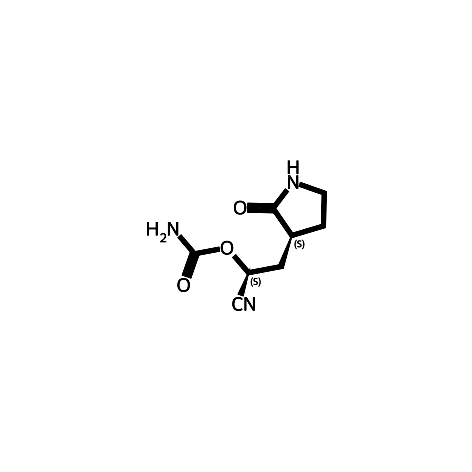 N#C[C@H](C[C@@H]1CCNC1=O)OC(N)=O